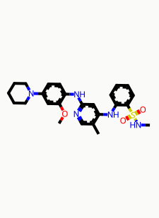 CNS(=O)(=O)c1ccccc1Nc1cc(Nc2ccc(N3CCCCC3)cc2OC)ncc1C